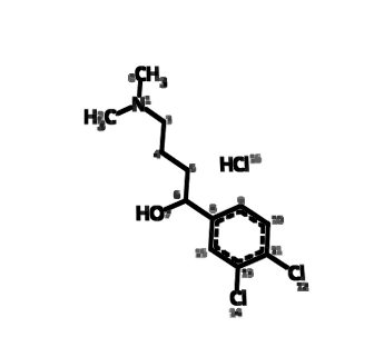 CN(C)CCCC(O)c1ccc(Cl)c(Cl)c1.Cl